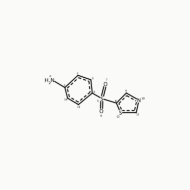 Nc1ccc(S(=O)(=O)c2cncs2)cc1